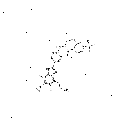 CCCn1c(=O)n(C2CC2)c(=O)c2[nH]c(-c3ccc(NC(CC)C(=O)c4ccc(C(F)(F)F)nc4)nc3)nc21